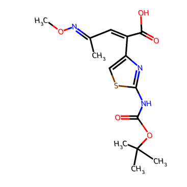 CO/N=C(C)/C=C(/C(=O)O)c1csc(NC(=O)OC(C)(C)C)n1